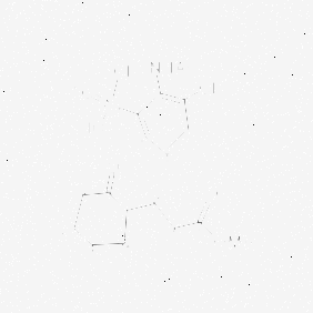 CC(=O)Nc1c(O)cccc1[As](=O)(O)O.COC(=O)CCC1CCCCC1=O